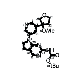 COC1(c2cncc(-n3ccc4cnc(NC(=O)OC(C)(C)C)nc43)c2)CCOC1